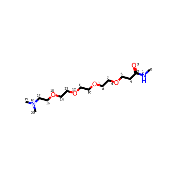 CNC(=O)CCOCCOCCOCCOCCN(C)C